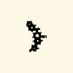 CC(c1ccc2scnc2c1)N1CCc2cc(-c3cnn(C)c3)ccc2[C@H](O)C1